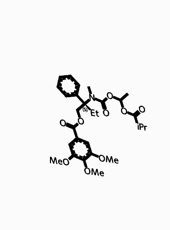 CC[C@@](COC(=O)c1cc(OC)c(OC)c(OC)c1)(c1ccccc1)N(C)C(=O)OC(C)OC(=O)C(C)C